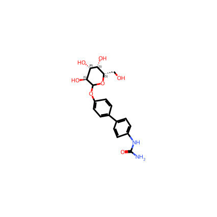 NC(=O)Nc1ccc(-c2ccc(OC3O[C@@H](CO)[C@@H](O)[C@@H](O)[C@@H]3O)cc2)cc1